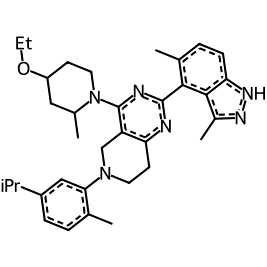 CCOC1CCN(c2nc(-c3c(C)ccc4[nH]nc(C)c34)nc3c2CN(c2cc(C(C)C)ccc2C)CC3)C(C)C1